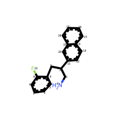 NCC(Cc1ccccc1F)c1ccc2ccccc2c1